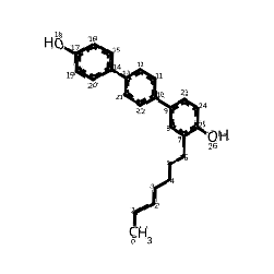 CCCCCCCc1cc(-c2ccc(-c3ccc(O)cc3)cc2)ccc1O